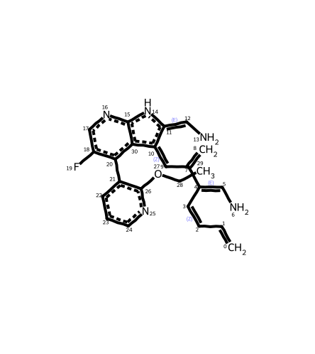 C=C/C=C\C(=C/N)C(=C)/C=c1\c(=C/N)[nH]c2ncc(F)c(-c3cccnc3OCC)c12